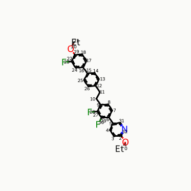 CCOc1ccc(-c2ccc(CCc3ccc(-c4ccc(OCC)c(F)c4)cc3)c(F)c2F)cn1